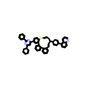 C1=CCC(c2cc(-c3ccc4c(c3)-c3ccccc3-c3ccccc3/C=C/C(C3C=CC(c5cccc6ncccc56)=CC3)C/C=C/S4)nc(-c3ccccc3)n2)C=C1